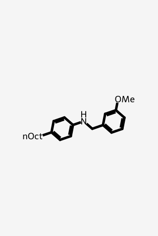 CCCCCCCCc1ccc(NCc2cccc(OC)c2)cc1